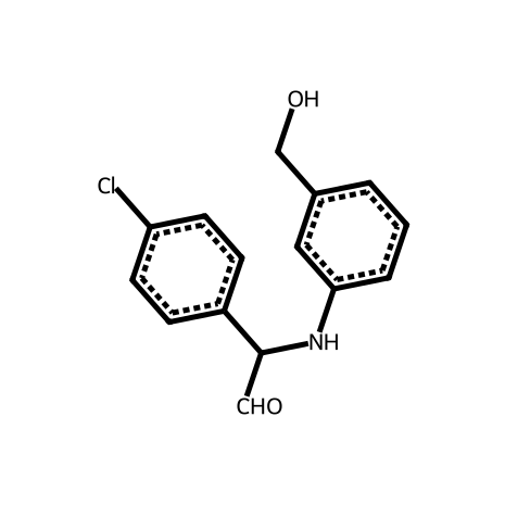 O=CC(Nc1cccc(CO)c1)c1ccc(Cl)cc1